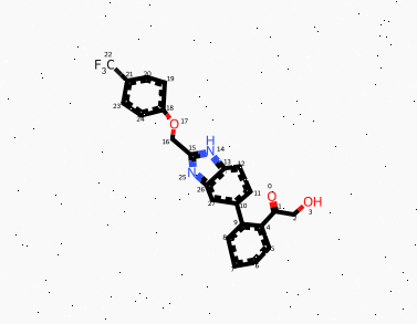 O=C(CO)c1ccccc1-c1ccc2[nH]c(COc3ccc(C(F)(F)F)cc3)nc2c1